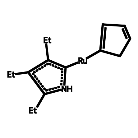 CCc1[nH][c]([Ru][C]2=CC=CC2)c(CC)c1CC